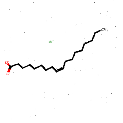 CCCCCCCC/C=C\CCCCCCCC(=O)[O-].[Br+]